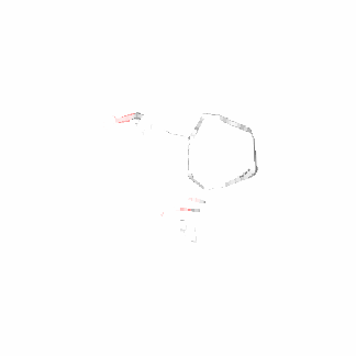 CC1=C/C=C\C=C/C=C\1.[C]=O.[C]=O.[C]=O.[Ru]